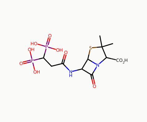 CC1(C)SC2C(NC(=O)CC(P(=O)(O)O)P(=O)(O)O)C(=O)N2C1C(=O)O